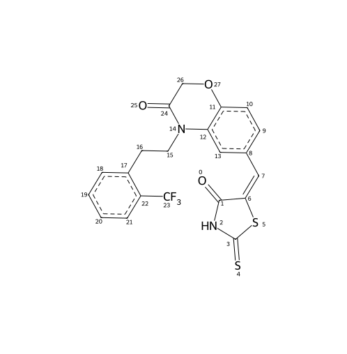 O=C1NC(=S)SC1=Cc1ccc2c(c1)N(CCc1ccccc1C(F)(F)F)C(=O)CO2